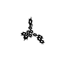 c1ccc(C2(c3ccccc3)c3ccccc3-c3c(N(c4ccc(-c5ccc6c(c5)oc5ccccc56)cc4)c4ccc(-c5cccc6c5ccc5ccccc56)cc4)cccc32)cc1